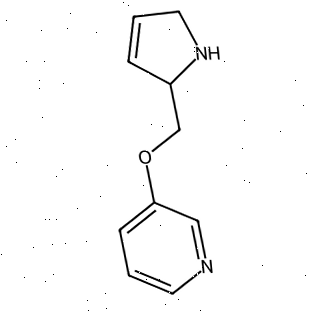 C1=CC(COc2cccnc2)NC1